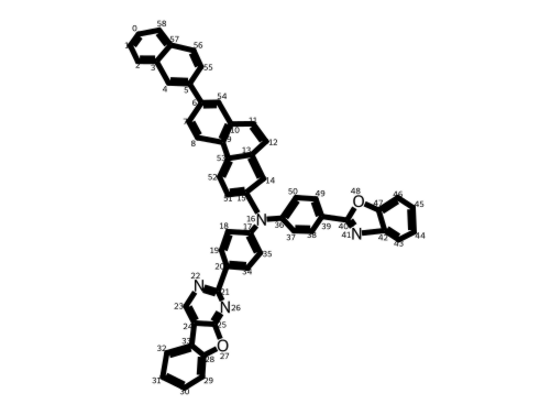 c1ccc2cc(-c3ccc4c(ccc5cc(N(c6ccc(-c7ncc8c(n7)oc7ccccc78)cc6)c6ccc(-c7nc8ccccc8o7)cc6)ccc54)c3)ccc2c1